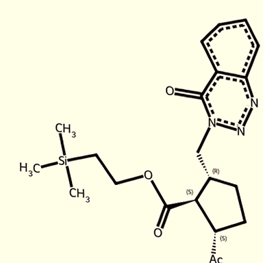 CC(=O)[C@H]1CC[C@@H](Cn2nnc3ccccc3c2=O)[C@@H]1C(=O)OCC[Si](C)(C)C